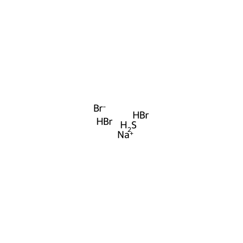 Br.Br.S.[Br-].[Na+]